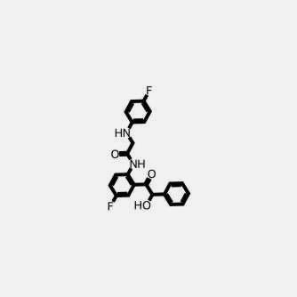 O=C(CNc1ccc(F)cc1)Nc1ccc(F)cc1C(=O)C(O)c1ccccc1